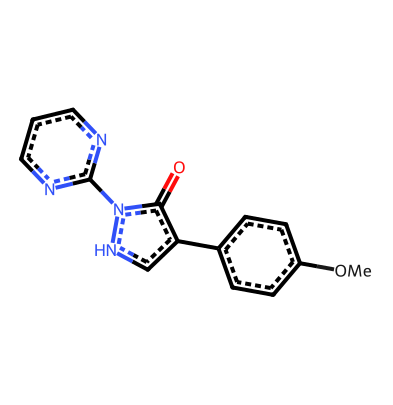 COc1ccc(-c2c[nH]n(-c3ncccn3)c2=O)cc1